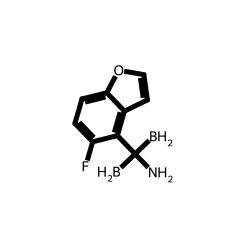 BC(B)(N)c1c(F)ccc2occc12